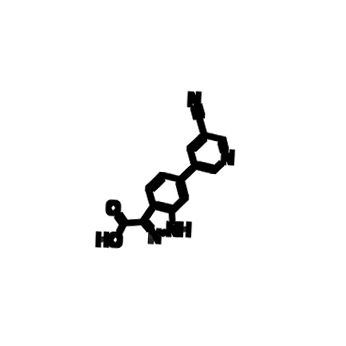 N#Cc1cncc(-c2ccc3c(C(=O)O)n[nH]c3c2)c1